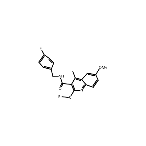 CCSc1nc2ccc(OC)cc2c(C)c1C(=O)NCc1ccc(F)cc1